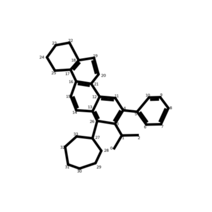 CC(C)c1c(-c2ccccc2)cc2c(ccc3c4c(ccc32)CCCC4)c1C1CCCCCC1